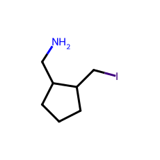 NCC1CCCC1CI